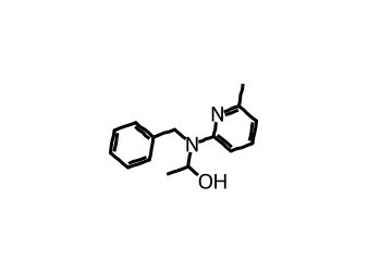 Cc1cccc(N(Cc2ccccc2)C(C)O)n1